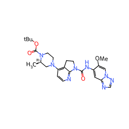 COc1cn2ncnc2cc1NC(=O)N1CCc2c(N3CCN(C(=O)OC(C)(C)C)[C@H](C)C3)ccnc21